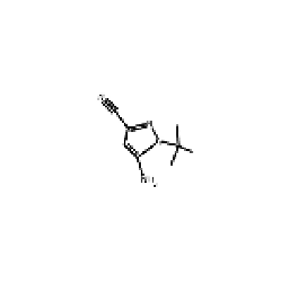 CC(C)(C)n1nc(C#N)cc1N